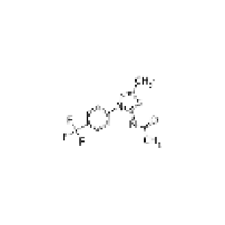 [CH2]c1cn(-c2ccc(C(F)(F)F)cc2)/c(=N/C(C)=O)s1